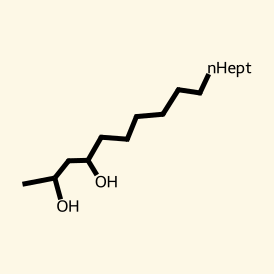 CCCCCCCCCCCCCC(O)CC(C)O